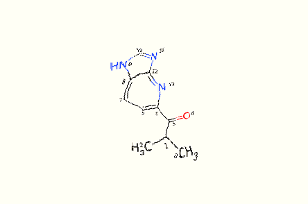 CC(C)C(=O)c1ccc2[nH]cnc2n1